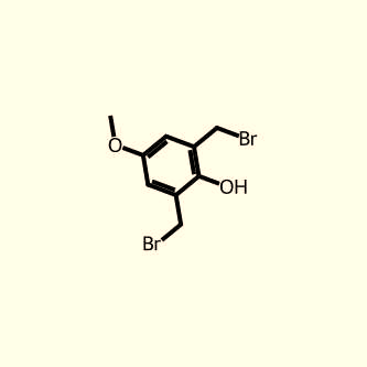 COc1cc(CBr)c(O)c(CBr)c1